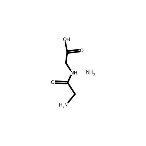 N.NCC(=O)NCC(=O)O